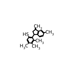 C=C1CC(c2c(S)cc(C)c(C)c2C)c2ccc(C)cc21